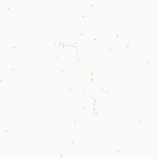 CC(C)(C)N1CC(OC2CCNC2)C1